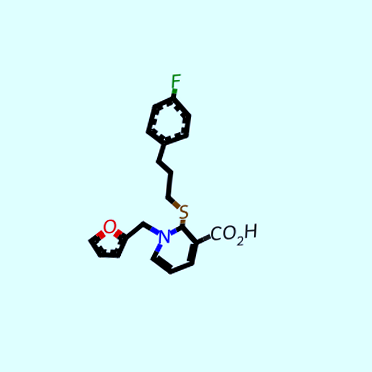 O=C(O)C1=CC=CN(Cc2ccco2)C1SCCCc1ccc(F)cc1